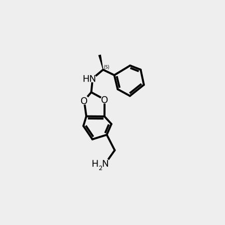 C[C@H](NC1Oc2ccc(CN)cc2O1)c1ccccc1